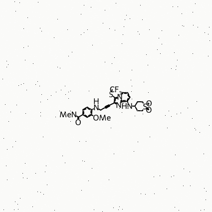 CNC(=O)c1ccc(NCC#Cc2nc3c(NC4CCS(=O)(=O)CC4)cccn3c2SC(F)(F)F)c(OC)c1